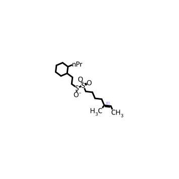 C/C=C(\C)CCCCS(=O)(=O)[S+]([O-])CCC1CCCCC1CCC